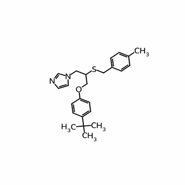 Cc1ccc(CSC(COc2ccc(C(C)(C)C)cc2)Cn2ccnc2)cc1